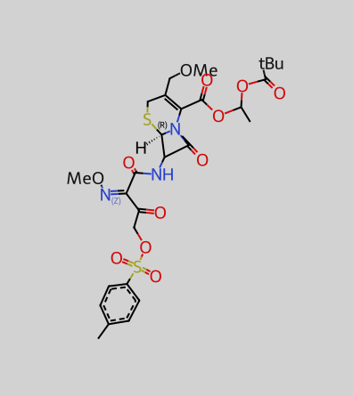 COCC1=C(C(=O)OC(C)OC(=O)C(C)(C)C)N2C(=O)C(NC(=O)/C(=N\OC)C(=O)COS(=O)(=O)c3ccc(C)cc3)[C@H]2SC1